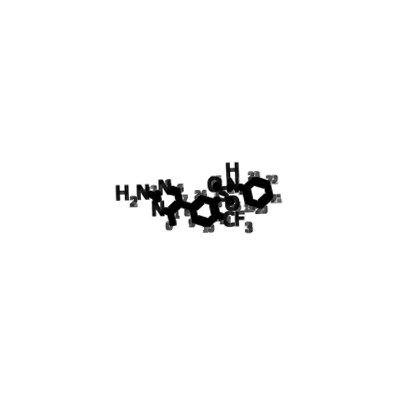 Cc1nc(N)ncc1-c1ccc(C(F)(F)F)c(S(=O)(=O)Nc2ccccc2)c1